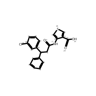 O=C(CC(c1ccccc1)c1cccc(Cl)c1)Nc1cscc1C(=O)O